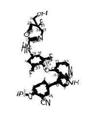 CC(C)Oc1ccc(-c2c[nH]c3nccc(Oc4c(F)cc(NC5=NC[C@@](F)(CO)CO5)cc4F)c23)cc1C#N